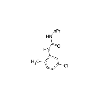 CCCNC(=O)Nc1cc(Cl)ccc1C